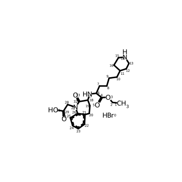 Br.CCOC(=O)C(CCCCC1CCNCC1)NC1CCc2ccccc2N(CC(=O)O)C1=O